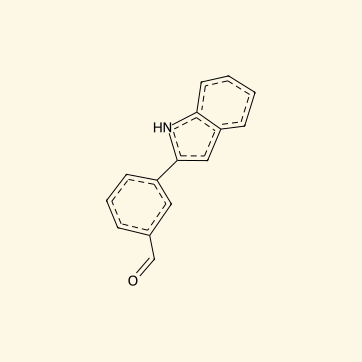 O=Cc1cccc(-c2cc3ccccc3[nH]2)c1